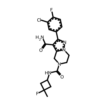 CC1(F)CC(NC(=O)N2CCn3nc(-c4ccc(F)c(Cl)c4)c(C(N)=O)c3C2)C1